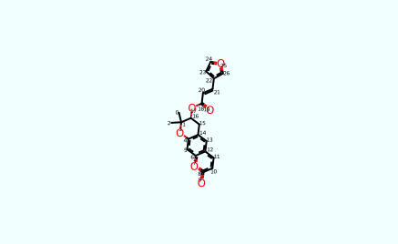 CC1(C)Oc2cc3oc(=O)ccc3cc2C[C@@H]1OC(=O)/C=C/c1ccoc1